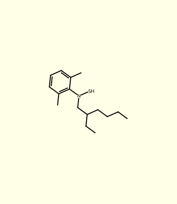 CCCCC(CC)CN(S)c1c(C)cccc1C